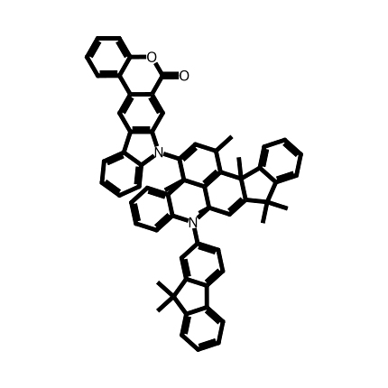 CC1C=C(n2c3ccccc3c3cc4c(cc32)c(=O)oc2ccccc24)C2(C)C3=C1C1(C)C(=CC3(C)N(c3ccc4c(c3)C(C)(C)c3ccccc3-4)c3ccccc32)C(C)(C)c2ccccc21